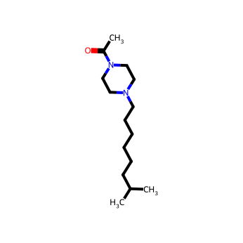 CC(=O)N1CCN(CCCCCCC(C)C)CC1